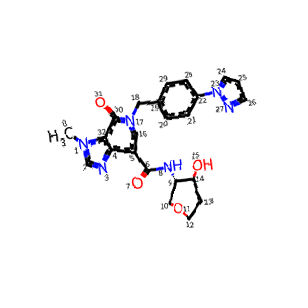 Cn1cnc2c(C(=O)N[C@H]3COCC[C@@H]3O)cn(Cc3ccc(-n4cccn4)cc3)c(=O)c21